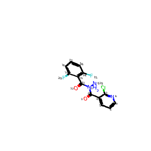 NN(C(=O)c1cccnc1Cl)C(=O)c1c(F)cccc1F